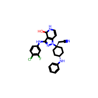 N#CC[C@]1(n2nc(Nc3ccc(Cl)c(F)c3)c3c2C=CNC3O)CC[C@@H](Nc2ccccc2)CC1